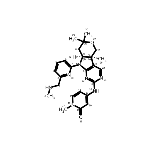 CNCc1cccc(N2c3nc(Nc4ccn(C)c(=O)c4)ncc3[C@]3(C)COC(C)(C)C[C@H]23)n1